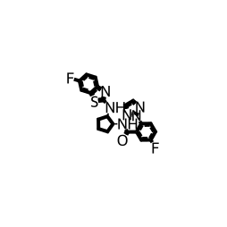 O=C(N[C@@H]1CCC[C@@H]1Nc1nc2ccc(F)cc2s1)c1cc(F)ccc1-n1nccn1